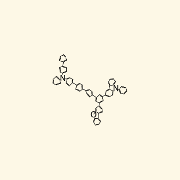 c1ccc(-c2ccc(N(c3ccccc3)c3ccc(-c4ccc(-c5ccc(-c6cc(-c7ccc8c(c7)oc7ccccc78)cc(-c7ccc8c(c7)c7ccccc7n8-c7ccccc7)c6)cc5)cc4)cc3)cc2)cc1